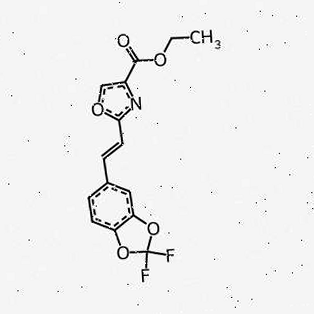 CCOC(=O)c1coc(C=Cc2ccc3c(c2)OC(F)(F)O3)n1